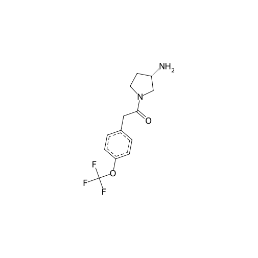 N[C@H]1CCN(C(=O)Cc2ccc(OC(F)(F)F)cc2)C1